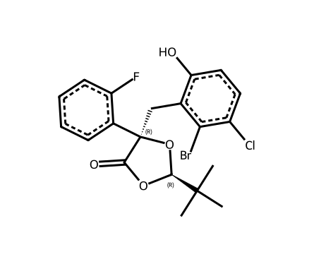 CC(C)(C)[C@H]1OC(=O)[C@@](Cc2c(O)ccc(Cl)c2Br)(c2ccccc2F)O1